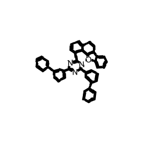 c1ccc(-c2cccc(-c3nc(-c4cccc(-c5ccccc5)c4)nc(-c4cccc5ccc6c7ccccc7oc6c45)n3)c2)cc1